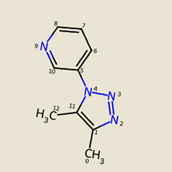 Cc1nnn(-c2cccnc2)c1C